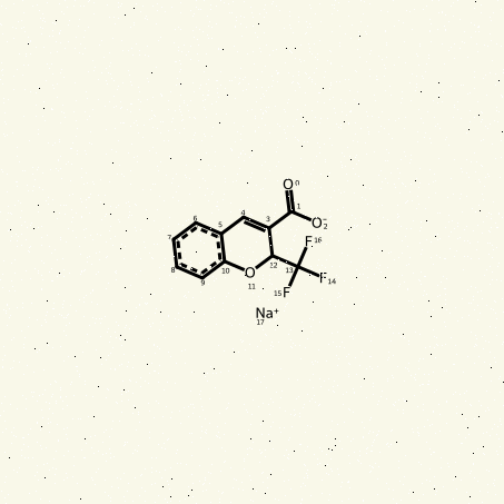 O=C([O-])C1=Cc2ccccc2OC1C(F)(F)F.[Na+]